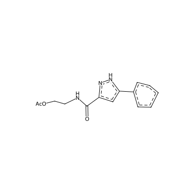 CC(=O)OCCNC(=O)c1cc(-c2ccccc2)[nH]n1